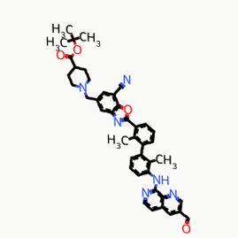 Cc1c(Nc2nccc3cc(C=O)cnc23)cccc1-c1cccc(-c2nc3cc(CN4CCC(C(=O)OC(C)(C)C)CC4)cc(C#N)c3o2)c1C